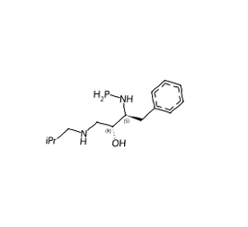 CC(C)CNC[C@@H](O)[C@H](Cc1ccccc1)NP